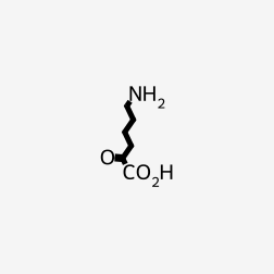 NCCCCC(=O)C(=O)O